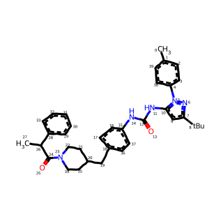 Cc1ccc(-n2nc(C(C)(C)C)cc2NC(=O)Nc2ccc(CC3CCN(C(=O)C(C)c4ccccc4)CC3)cc2)cc1